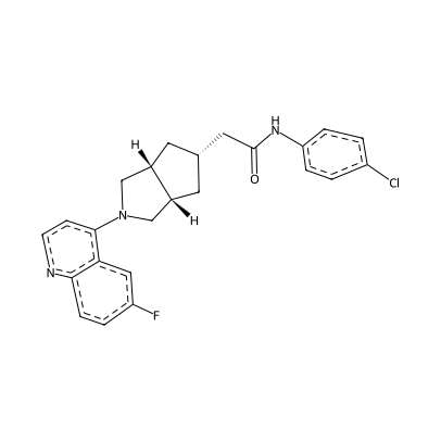 O=C(C[C@@H]1C[C@@H]2CN(c3ccnc4ccc(F)cc34)C[C@@H]2C1)Nc1ccc(Cl)cc1